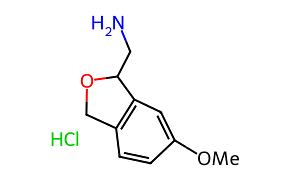 COc1ccc2c(c1)C(CN)OC2.Cl